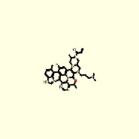 C=CC(=O)N1CC2CN(CCCN(C)C)c3c(c4cc(F)c(-c5c(C)ccc6[nH]cnc56)c(F)c4n(-c4c(C(C)C)ncnc4C(C)C)c3=O)N2CC1C